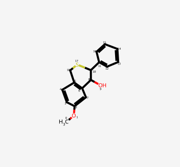 COc1ccc2c(c1)C(O)C(c1ccccc1)SC2